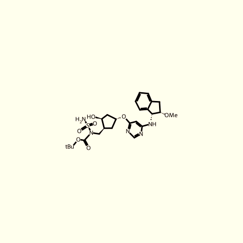 CO[C@H]1Cc2ccccc2[C@H]1Nc1cc(O[C@@H]2C[C@@H](CN(C(=O)OC(C)(C)C)S(N)(=O)=O)[C@@H](O)C2)ncn1